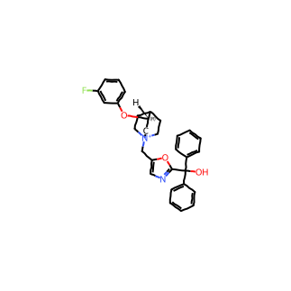 OC(c1ccccc1)(c1ccccc1)c1ncc(C[N+]23CCC(CC2)[C@@H](Oc2cccc(F)c2)C3)o1